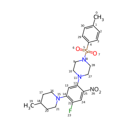 Cc1ccc(S(=O)(=O)N2CCN(c3cc(N4CCC(C)CC4)c(F)cc3[N+](=O)[O-])CC2)cc1